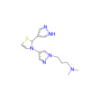 CN(C)CCCn1cc(N2C=CSC2c2cn[nH]c2)cn1